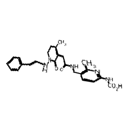 CC1=C(CC(=O)NCc2ccc(NC(=O)O)nc2C)C(=O)N(NCCc2ccccc2)CC1